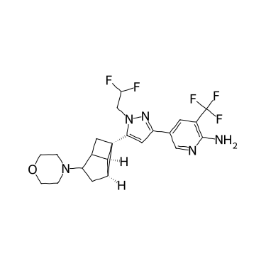 Nc1ncc(-c2cc([C@]34CC5C(N6CCOCC6)C[C@H]3[C@@H]54)n(CC(F)F)n2)cc1C(F)(F)F